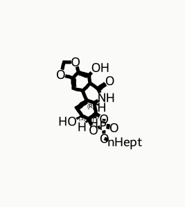 CCCCCCCOP1(=O)O[C@@H]2[C@H](O1)[C@@H](O)C=C1C3C=C4OCOC4=C(O)C3C(=O)N[C@H]12